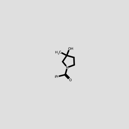 CC(C)C(=O)N1CCC(C)(O)C1